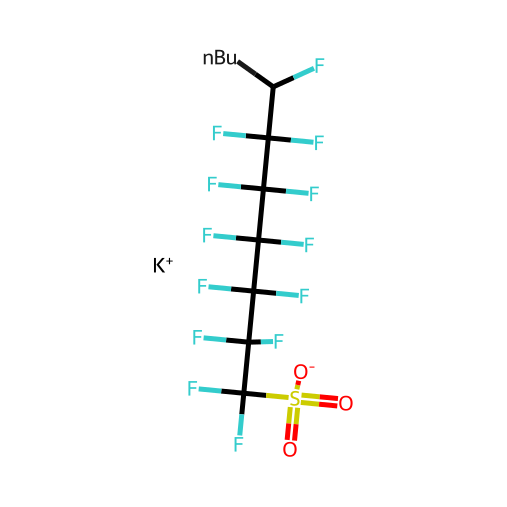 CCCCC(F)C(F)(F)C(F)(F)C(F)(F)C(F)(F)C(F)(F)C(F)(F)S(=O)(=O)[O-].[K+]